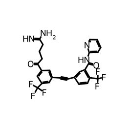 N=C(N)CCCC(=O)c1cc(C#Cc2ccc(C(F)(F)F)c(C(=O)Nc3ccccn3)c2)cc(C(F)(F)F)c1